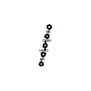 O=C(Nc1ccc(/N=N/c2ccccc2)cc1)c1ccc(C(=O)Nc2ccc(/N=N/c3ccccc3)cc2)cc1